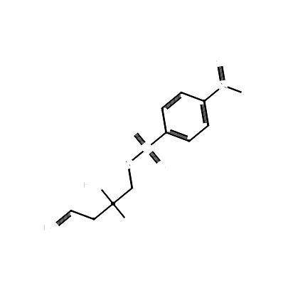 C=CCC(C)(C)CNS(=O)(=O)c1ccc([N+](=O)[O-])cc1